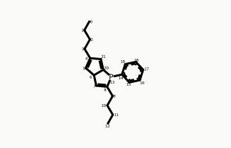 CCCCC1=CC2C=C(CCCC)P(c3ccccc3)C2=C1